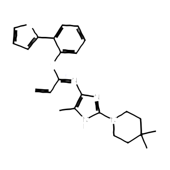 C=C/C(=N\c1nc(N2CCC(C)(C)CC2)[nH]c1C)Sc1ccccc1-c1cccs1